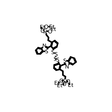 CCO[Si](CCCc1cccc(SSSSc2cccc(CCC[Si](OCC)(OCC)OCC)c2-c2nc3ccccc3s2)c1-c1nc2ccccc2s1)(OCC)OCC